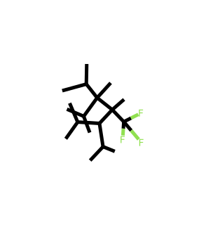 CC(C)C(C(C)C)C(C)(C(F)(F)F)C(C)(C(C)C)C(C)C